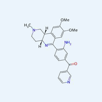 COc1cc2c(cc1OC)[C@H]1CN(C)CC[C@H]1N=C2c1ccc(C(=O)c2cccnc2)cc1N